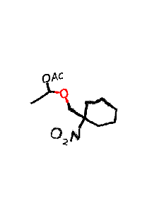 CC(=O)OC(C)OCC1([N+](=O)[O-])CCCCC1